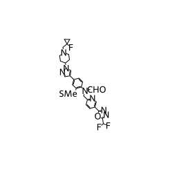 CSc1cc(-c2cnn(C3CCN(CC4(F)CC4)CC3)c2)ccc1N(C=O)Cc1ccc(-c2nnc(C(F)F)o2)cn1